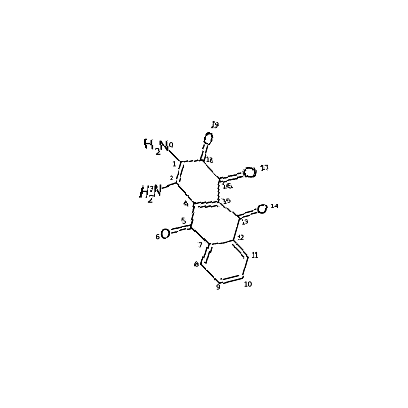 Nc1c(N)c2c(=O)c3ccccc3c(=O)c=2c(=O)c1=O